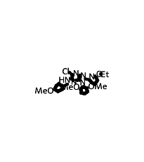 CCOc1cccc(-c2nc3nc(Cl)c(NCc4ccc(OC)cc4)nc3n2-c2c(OC)cccc2OC)n1